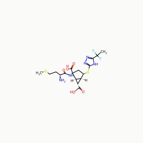 CSCC[C@H](N)C(=O)N[C@@]1(C(=O)O)C[C@@H](Sc2nnc(C(C)(F)F)[nH]2)[C@H]2[C@H](C(=O)O)[C@H]21